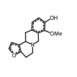 COc1c(O)ccc2c1CN1CCc3occc3C1C2